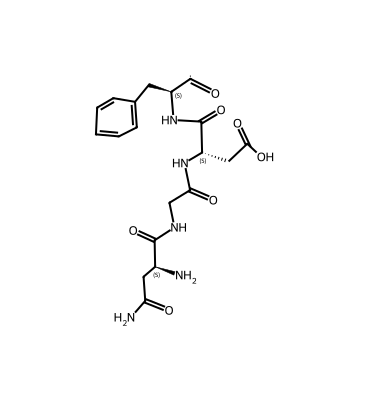 NC(=O)C[C@H](N)C(=O)NCC(=O)N[C@@H](CC(=O)O)C(=O)N[C@H]([C]=O)Cc1ccccc1